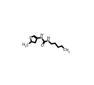 CCCCCNC(=O)NC1=CSC(C)C1